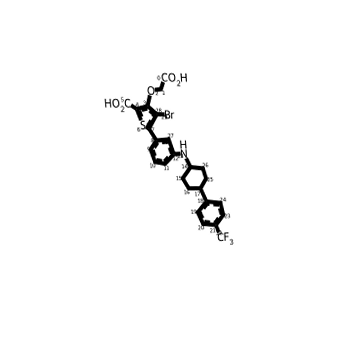 O=C(O)COc1c(C(=O)O)sc(-c2cccc(NC3CCC(c4ccc(C(F)(F)F)cc4)CC3)c2)c1Br